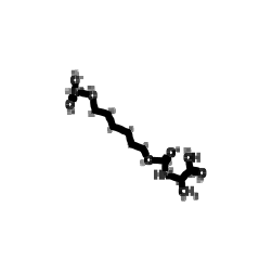 CC(NC(=O)OCCCCCCO[N+](=O)[O-])C(=O)O